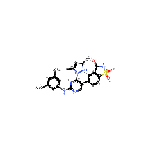 COc1cc(Nc2ncc(-c3ccc4c(c3)C(=O)NS4(=O)=O)c(N3NC(C(F)(F)F)C=C3C)n2)cc(OC)c1